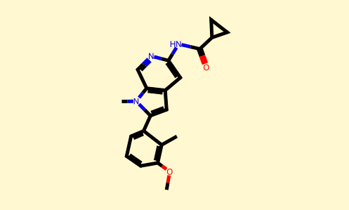 COc1cccc(-c2cc3cc(NC(=O)C4CC4)ncc3n2C)c1C